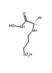 CC(C)[C@H](NCCCS(=O)(=O)O)C(=O)NO